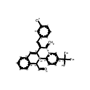 C=CC(=Cc1cccc(Cl)c1)C1=Cc2ccccc2C(C=O)N1c1ccc(C(F)(F)F)cn1